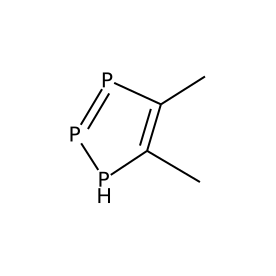 Cc1pp[pH]c1C